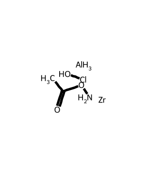 CC(=O)ON.OCl.[AlH3].[Zr]